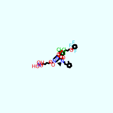 Cc1ccccc1CCN(C(=O)C1C(c2ccc(CCCOc3c(F)ccc(F)c3F)cc2)CC2CN(C(=O)OCCCCON(O)O)CC1N2C(=O)OC(C)(C)C(Cl)(Cl)Cl)C1CC1